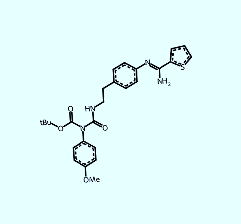 COc1ccc(N(C(=O)NCCc2ccc(N=C(N)c3cccs3)cc2)C(=O)OC(C)(C)C)cc1